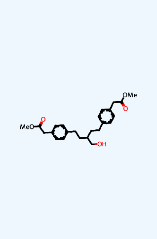 COC(=O)Cc1ccc(CCC(CO)CCc2ccc(CC(=O)OC)cc2)cc1